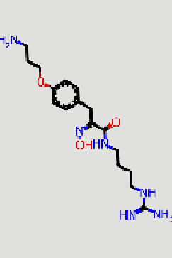 N=C(N)NCCCCNC(=O)C(Cc1ccc(OCCCN)cc1)=NO